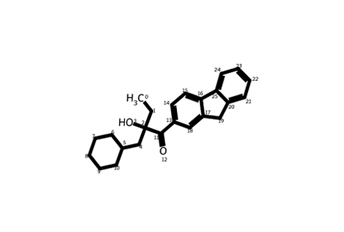 CCC(O)(CC1CCCCC1)C(=O)c1ccc2c(c1)Cc1ccccc1-2